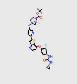 C[C@@H]1CN(Cc2ccc(-c3cc4nccc(Oc5ccc(NC(=O)NC6CC6)cc5F)c4s3)nc2)CCN1C(=O)OC(C)(C)C